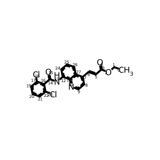 CCOC(=O)/C=C/c1ccnc2c(NC(=O)c3c(Cl)cccc3Cl)cccc12